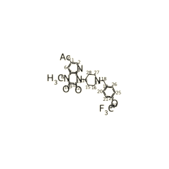 CC(=O)c1cnc2c(c1)n(C)c(=O)c(=O)n2C1CCN(Cc2ccc(OC(F)(F)F)cc2)CC1